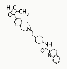 CC(C)C(=O)c1ccc2c(c1)CCN(CCC1CCC(NC(=O)c3ccc4ccccc4n3)CC1)CC2